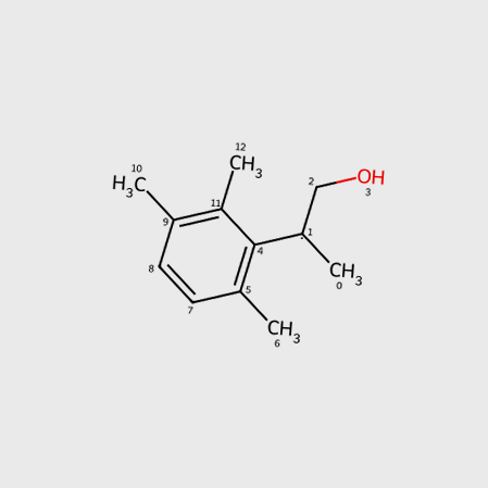 C[C](CO)c1c(C)ccc(C)c1C